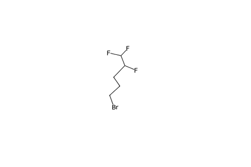 FC(F)C(F)CCCBr